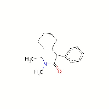 CCN(C)C(=O)C(c1ccccc1)C1CCCCC1